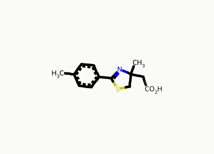 Cc1ccc(C2=NC(C)(CC(=O)O)CS2)cc1